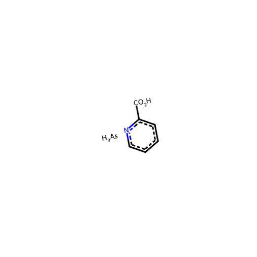 O=C(O)c1ccccn1.[AsH3]